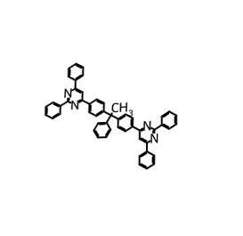 CC(c1ccccc1)(c1ccc(-c2cc(-c3ccccc3)nc(-c3ccccc3)n2)cc1)c1ccc(-c2cc(-c3ccccc3)nc(-c3ccccc3)n2)cc1